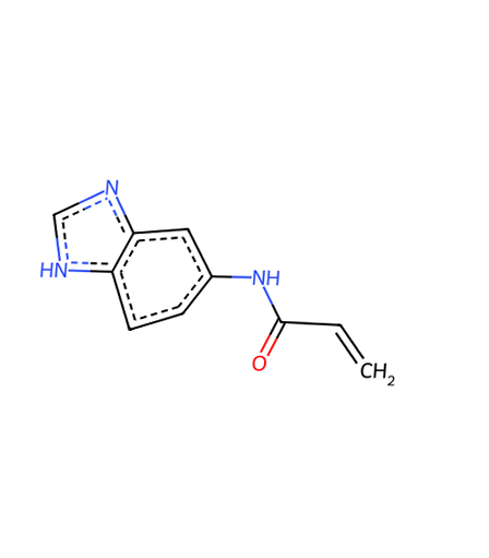 C=CC(=O)Nc1ccc2[nH]cnc2c1